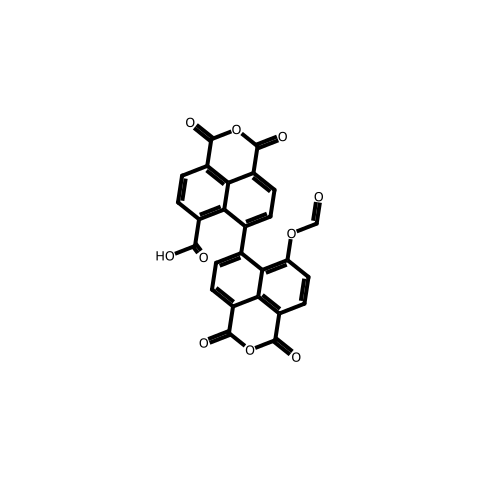 O=COc1ccc2c3c(ccc(-c4ccc5c6c(ccc(C(=O)O)c46)C(=O)OC5=O)c13)C(=O)OC2=O